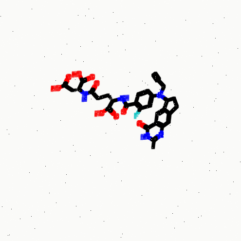 C#CCN(c1ccc(C(=O)N[C@@H](CCC(=O)N[C@H](CC(=O)O)C(=O)O)C(=O)O)c(F)c1)C1CCc2cc3nc(C)[nH]c(=O)c3cc21